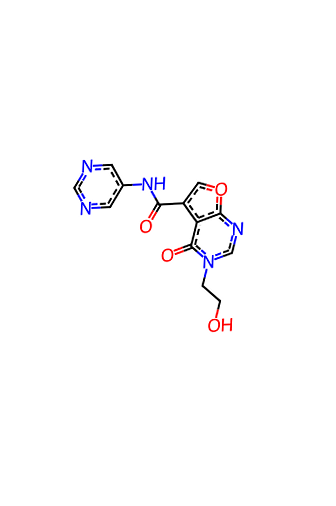 O=C(Nc1cncnc1)c1coc2ncn(CCO)c(=O)c12